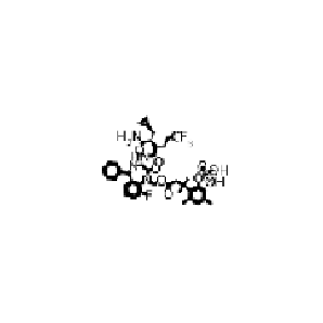 Cc1cc(C)c(C(C)(C)CC(=O)OCN2C(=O)[C@@H](NC(=O)[C@H](CCC(F)(F)F)[C@H](CC3CC3)C(N)=O)N=C(c3ccccc3)c3cccc(F)c32)c(OP(=O)(O)O)c1